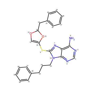 Nc1ncnc2c1nc(SC1=COC(Cc3ccccc3)O1)n2CCCc1ccccc1